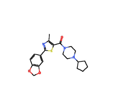 Cc1nc(-c2ccc3c(c2)OCO3)sc1C(=O)N1CCN(C2CCCC2)CC1